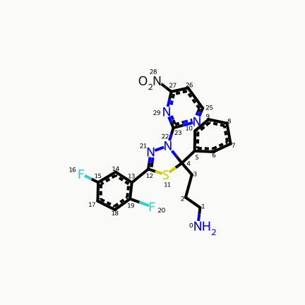 NCCCC1(c2ccccc2)SC(c2cc(F)ccc2F)=NN1c1nccc([N+](=O)[O-])n1